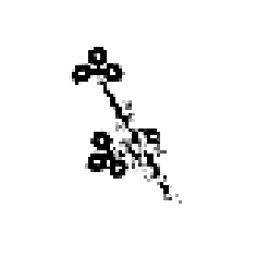 C=CCOC(=O)C[C@H](O)[C@H](NC(=O)[C@@H](CSC(c1ccccc1)(c1ccccc1)c1ccccc1)NC(=O)[C@@H](Cc1ccsc1)NC(=O)C[C@H](O)C=CCCSC(c1ccccc1)(c1ccccc1)c1ccccc1)C(C)C